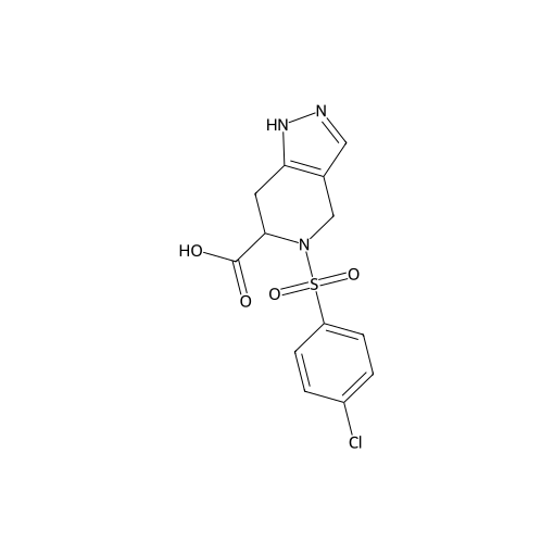 O=C(O)C1Cc2[nH]ncc2CN1S(=O)(=O)c1ccc(Cl)cc1